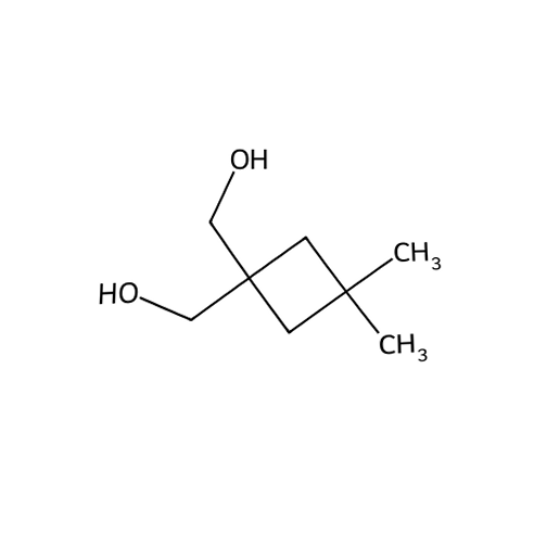 CC1(C)CC(CO)(CO)C1